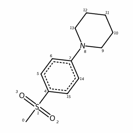 CS(=O)(=O)c1ccc(N2CCCCC2)cc1